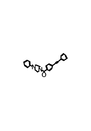 O=C(c1ccc(C#Cc2ccccc2)cc1)N1CCN(c2ccccc2)CC1